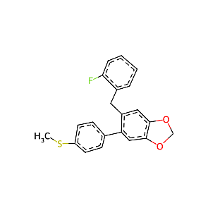 CSc1ccc(-c2cc3c(cc2Cc2ccccc2F)OCO3)cc1